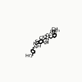 CS(=O)(=O)c1cccc(CC(NC(=O)c2c(Cl)cc3c(NCc4ccc(CO)cc4)nsc3c2Cl)C(=O)O)c1